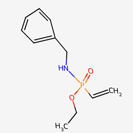 C=CP(=O)(NCc1ccccc1)OCC